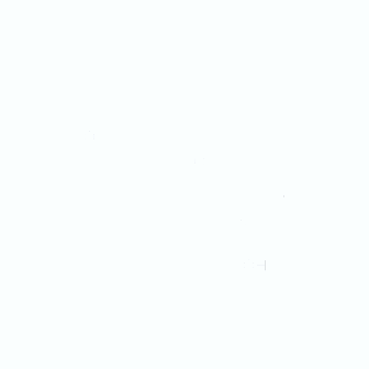 O=C(O)CO[C@H]1CCOC1